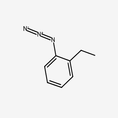 CCc1ccccc1N=[N+]=[N-]